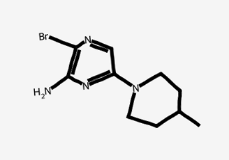 C[C]1CCN(c2cnc(Br)c(N)n2)CC1